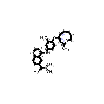 C=C(c1ccc2ncnc(Nc3ccc(OC4=C/C(C)=N/C=CC/C=C\4)c(C)c3)c2c1)N(C)C